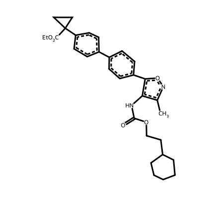 CCOC(=O)C1(c2ccc(-c3ccc(-c4onc(C)c4NC(=O)OCCC4CCCCC4)cc3)cc2)CC1